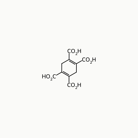 O=C(O)C1=C(C(=O)O)CC(C(=O)O)=C(C(=O)O)C1